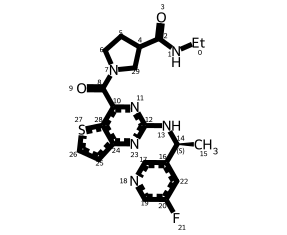 CCNC(=O)C1CCN(C(=O)c2nc(N[C@@H](C)c3cncc(F)c3)nc3ccsc23)C1